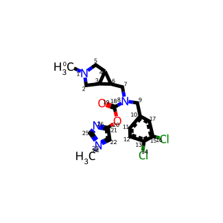 CN1CC2C(C1)C2CN(Cc1ccc(Cl)c(Cl)c1)C(=O)Oc1cn(C)cn1